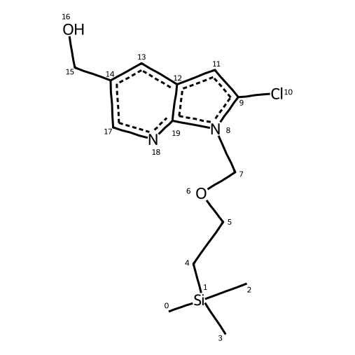 C[Si](C)(C)CCOCn1c(Cl)cc2cc(CO)cnc21